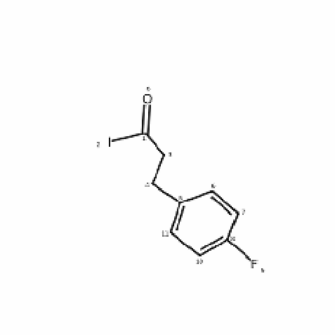 O=C(I)CCc1ccc(F)cc1